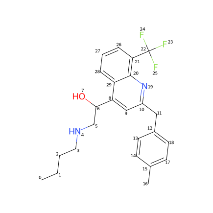 CCCCNCC(O)c1cc(Cc2ccc(C)cc2)nc2c(C(F)(F)F)cccc12